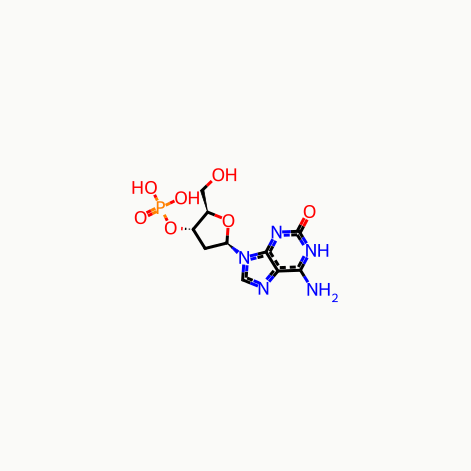 Nc1[nH]c(=O)nc2c1ncn2[C@H]1C[C@H](OP(=O)(O)O)[C@@H](CO)O1